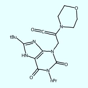 CCCn1c(=O)c2[nH]c(C(C)(C)C)nc2n(CC(=C=O)N2CCOCC2)c1=O